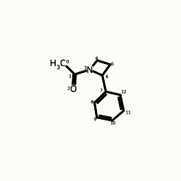 CC(=O)N1CCC1c1ccccc1